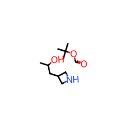 CC(C)(C)OC=O.CC(O)CC1CNC1